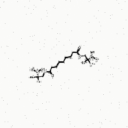 CCCC[C](S)(COC(=O)CCCCCCCC(=O)OC[C](S)(CCCC)[SnH]([SH])[SH])[SnH]([SH])[SH]